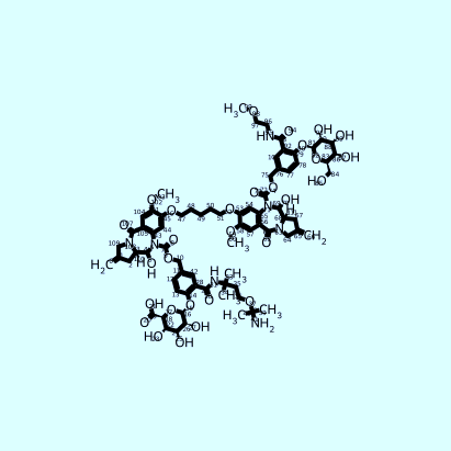 C=C1C[C@H]2C(O)N(C(=O)OCc3ccc(O[C@@H]4O[C@H](C(=O)O)[C@H](O)[C@H](O)[C@H]4O)c(C(=O)NC(C)(C)CCOC(C)(C)N)c3)c3cc(OCCCCCOc4cc5c(cc4OC)C(=O)N4CC(=C)C[C@H]4C(O)N5C(=O)OCc4ccc(O[C@@H]5O[C@H](CO)[C@H](O)[C@H](O)[C@H]5O)c(C(=O)NCCOC)c4)c(OC)cc3C(=O)N2C1